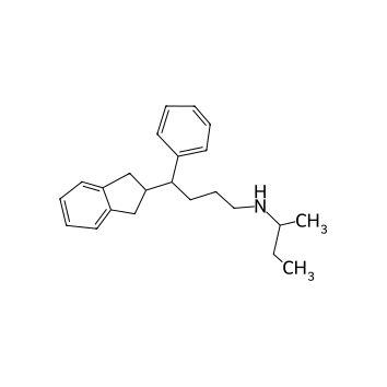 CCC(C)NCCCC(c1ccccc1)C1Cc2ccccc2C1